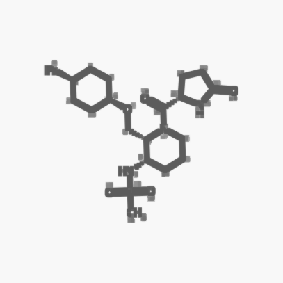 CC(C)[C@H]1CC[C@@H](OC[C@H]2[C@@H](NS(C)(=O)=O)CCCN2C(=O)[C@@H]2CCC(=O)N2)CC1